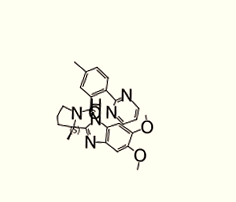 COc1cc2nc([C@]3(C)CCCN3C(=O)c3cc(C)ccc3-c3ncccn3)[nH]c2cc1OC